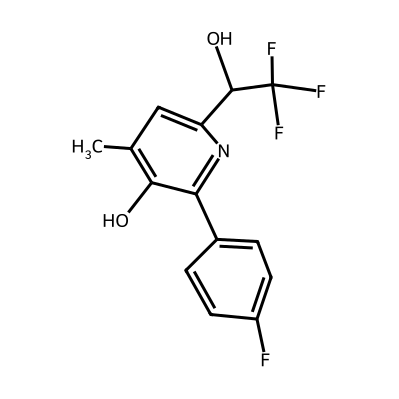 Cc1cc(C(O)C(F)(F)F)nc(-c2ccc(F)cc2)c1O